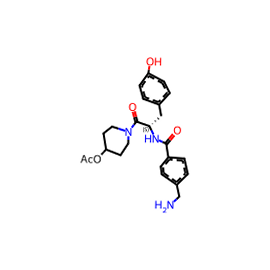 CC(=O)OC1CCN(C(=O)[C@H](Cc2ccc(O)cc2)NC(=O)c2ccc(CN)cc2)CC1